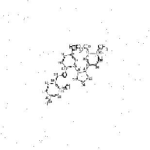 CCOC(=O)c1cc(C2=C(c3cc(C(F)(F)F)ccc3OCc3ccc(F)cc3Cl)CCC2)cnc1C(F)(F)F